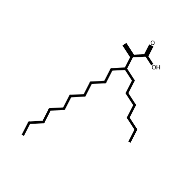 C=C(C(=O)O)C(CCCCCC)CCCCCCCCCC